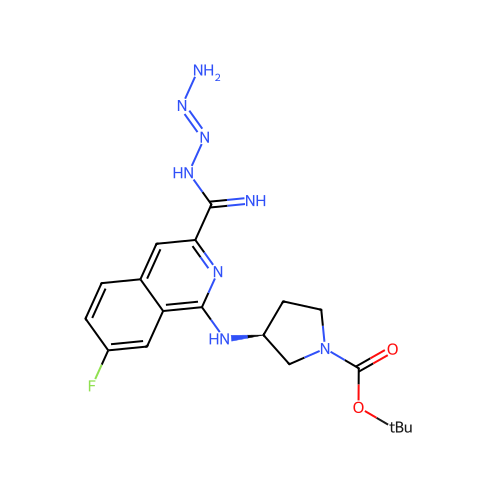 CC(C)(C)OC(=O)N1CC[C@H](Nc2nc(C(=N)NN=NN)cc3ccc(F)cc23)C1